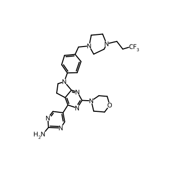 Nc1ncc(-c2nc(N3CCOCC3)nc3c2CCN3c2ccc(CN3CCN(CCC(F)(F)F)CC3)cc2)cn1